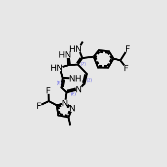 CN/C(=C1/C=C\N=C(n2nc(C)cc2C(F)F)/C=C(\N)NC1=N)c1ccc(C(F)F)cc1